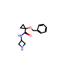 O=C(NC1CNC1)C1(OCc2ccccc2)CC1